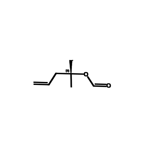 [CH2][C@@](C)(CC=C)OC=O